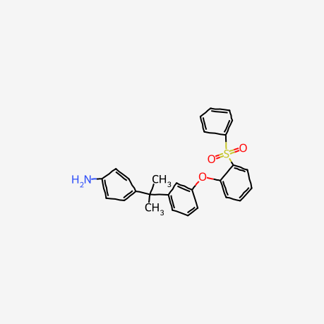 CC(C)(c1ccc(N)cc1)c1cccc(Oc2ccccc2S(=O)(=O)c2ccccc2)c1